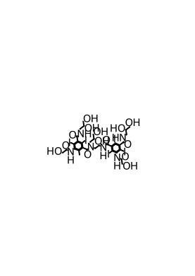 Cc1c(NC(=O)CO)c(I)c(C(=O)NCC(O)CO)c(I)c1C(=O)N(CCNC(=O)c1c(I)c(NC(=O)CO)c(I)c(C(=O)NCC(O)CO)c1I)CC(O)CO